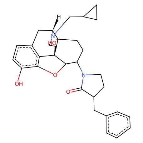 O=C1C(Cc2ccccc2)CCN1C1CC[C@@]2(O)[C@H]3Cc4ccc(O)c5c4[C@@]2(CCN3CC2CC2)C1O5